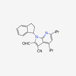 CC(C)c1cc(C(C)C)c2c(C#N)c(C=O)n(C3CCc4ccccc43)c2n1